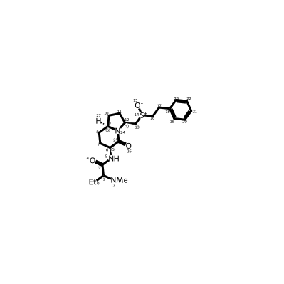 CCC(NC)C(=O)N[C@H]1CC[C@H]2CC[C@@H](C[S+]([O-])CCc3ccccc3)N2C1=O